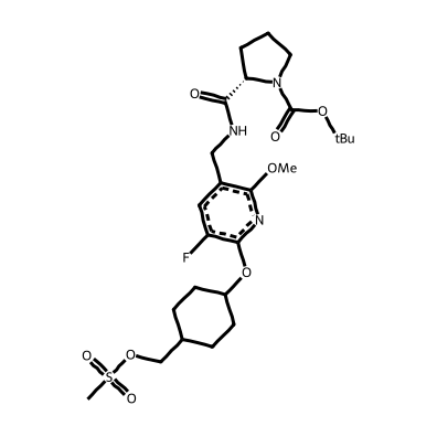 COc1nc(OC2CCC(COS(C)(=O)=O)CC2)c(F)cc1CNC(=O)[C@@H]1CCCN1C(=O)OC(C)(C)C